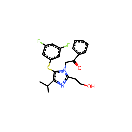 CC(C)c1nc(CCO)n(CC(=O)c2ccccc2)c1Sc1cc(F)cc(F)c1